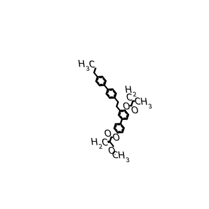 C=C(C)C(=O)Oc1ccc(-c2ccc(OC(=O)C(=C)COC)cc2)cc1CCc1ccc(-c2ccc(CCC)cc2)cc1